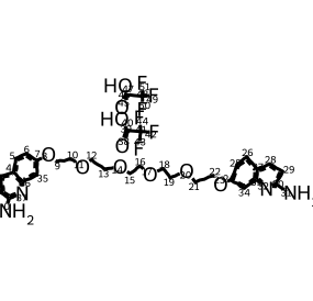 Nc1ccc2ccc(OCCOCCOCCOCCOCCOc3ccc4ccc(N)nc4c3)cc2n1.O=C(O)C(F)(F)F.O=C(O)C(F)(F)F